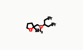 CC(C)CC(CC(C)C)OCC1([SiH3])CCCO1